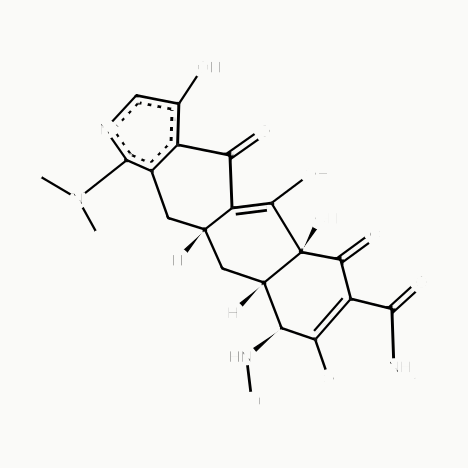 CCN[C@@H]1C(O)=C(C(N)=O)C(=O)[C@@]2(O)C(O)=C3C(=O)c4c(O)cnc(N(C)C)c4C[C@H]3C[C@@H]12